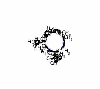 CO[C@H]1C[C@@H]2CC[C@@H](C)[C@@](O)(O2)C(=O)C(=O)N2CCCC[C@H]2C(=O)O[C@H]([C@H](C)C[C@@H]2CC[C@@H](O)[C@H](OC)C2)CC(=O)[C@H](C)/C=C(\C)[C@@H](O)[C@@H](OC)C(=O)[C@H](C)C[C@H](C)/C=C/C=C/C=C/1C.O=P1(NCCCl)OCCCN1CCCl